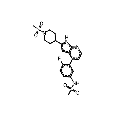 CS(=O)(=O)Nc1ccc(F)c(-c2ccnc3[nH]c(C4CCN(S(C)(=O)=O)CC4)cc23)c1